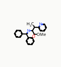 COC(=O)C(N=C(c1ccccc1)c1ccccc1)C(C)c1ccccn1